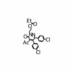 CCC(=O)OCCn1nc(-c2ccc(Cl)cc2)c(-c2ccc(Cl)cc2)c(C(C)=O)c1=O